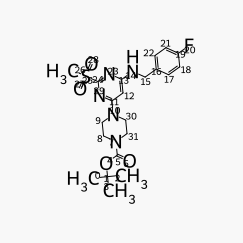 CC(C)(C)OC(=O)N1CCN(c2cc(NCc3ccc(F)cc3)nc(S(C)(=O)=O)n2)CC1